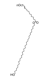 CCCCCCCCC=CCCCCCCCCCC(=O)OCCCCCCCCCCCCCCCCCCCCCCCCCCCCCCCO